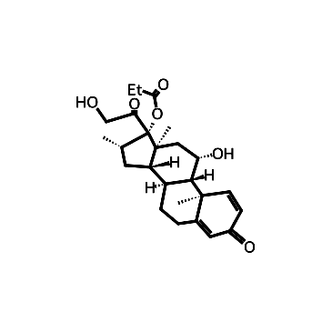 CCC(=O)O[C@@]1(C(=O)CO)[C@@H](C)C[C@H]2[C@@H]3CCC4=CC(=O)C=C[C@]4(C)[C@H]3[C@@H](O)C[C@@]21C